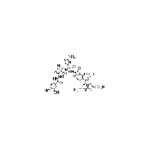 Cc1cc(C(=S)C2=C(C(=O)O)N3C(=O)C(NC(=O)C(=NOC(C)(C)C(=O)NNC(=O)c4ccc(O)c(O)c4)c4csc(N)n4)[C@@H]3SC2)n2nc(C(=O)O)nc2n1